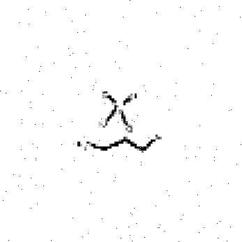 CC(=O)CCCN.[OH][Pt]([OH])([Cl])[Cl]